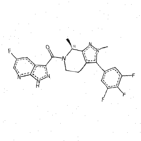 C[C@H]1c2nn(C)c(-c3cc(F)c(F)c(F)c3)c2CCN1C(=O)c1n[nH]c2ncc(F)cc12